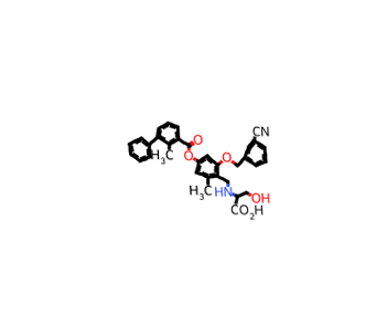 Cc1cc(OC(=O)c2cccc(-c3ccccc3)c2C)cc(OCc2cccc(C#N)c2)c1CNC(CO)C(=O)O